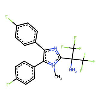 Cn1c(C(N)(C(F)(F)F)C(F)(F)F)nc(-c2ccc(F)cc2)c1-c1ccc(F)cc1